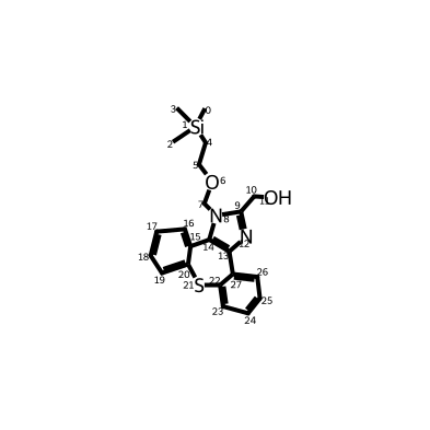 C[Si](C)(C)CCOCn1c(CO)nc2c1-c1ccccc1Sc1ccccc1-2